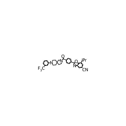 CC(C)c1cc(C#N)cc2nc(-c3ccc(C(=O)N4CCC5(CCN(c6cccc(C(F)(F)F)c6)CC5)C4)cc3)oc12